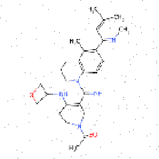 C/N=C(\C=C(C)C)c1ccc2c(c1C)CCCN2C(=N)C1=C(NC2COC2)CCN(C(C)=O)C1